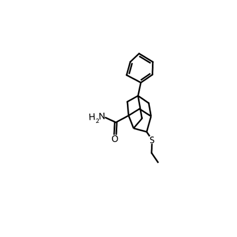 CCSC1C2CC3(c4ccccc4)CC1C(C(N)=O)(C2)C3